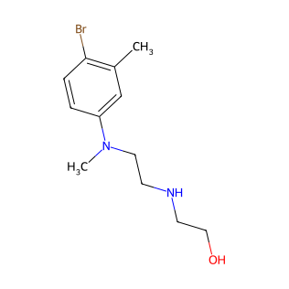 Cc1cc(N(C)CCNCCO)ccc1Br